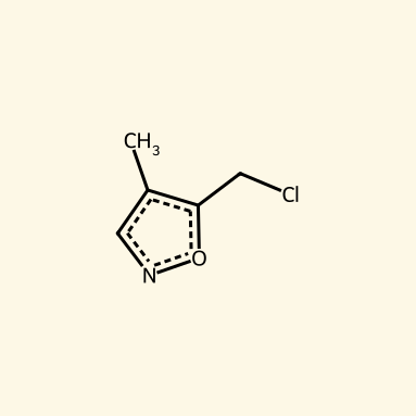 Cc1cnoc1CCl